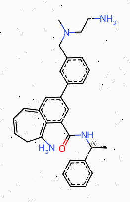 C[C@H](NC(=O)c1cc(-c2cccc(CN(C)CCN)c2)cc2c1=C(N)CC=CC=2)c1ccccc1